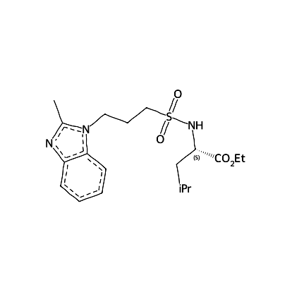 CCOC(=O)[C@H](CC(C)C)NS(=O)(=O)CCCn1c(C)nc2ccccc21